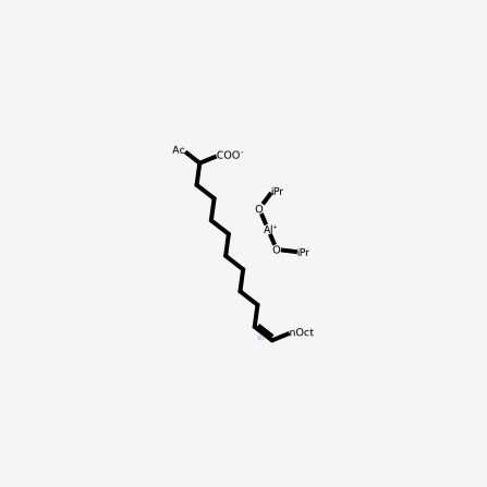 CC(C)[O][Al+][O]C(C)C.CCCCCCCC/C=C\CCCCCCCCC(C(C)=O)C(=O)[O-]